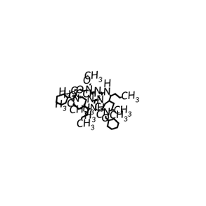 CCCC(Nc1nc(NC(CCC)C2CC(C)(C)N(OC3CCCCC3)C(C)(C)C2)nc(N(COC)COC)n1)C1CC(C)(C)N(OC2CCCCC2)C(C)(C)C1